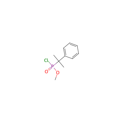 COP(=O)(Cl)C(C)(C)c1ccccc1